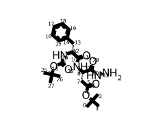 CC(C)(C)OC(=O)C[C@H](NC(=O)[C@@H](Cc1ccccc1)NC(=O)OC(C)(C)C)C(=O)NN